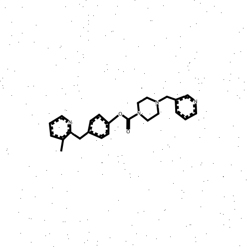 Cc1cccnc1Cc1ccc(OC(=O)N2CCN(Cc3cccnc3)CC2)cc1